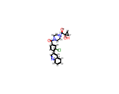 O=C(c1ccc(-c2cnc3ccccc3c2)c(Cl)c1)N1CCN(C(=O)C2(O)CC2)CC1